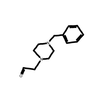 O=[C]CN1CCN(Cc2ccccc2)CC1